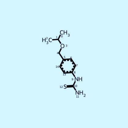 CC(C)OCc1ccc(NC(N)=S)cc1